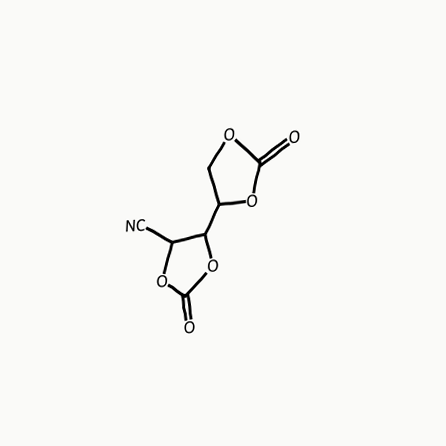 N#CC1OC(=O)OC1C1COC(=O)O1